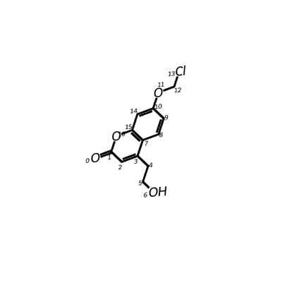 O=c1cc(CCO)c2ccc(OCCl)cc2o1